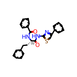 O=C(N[C@@H](CCc1ccccc1)C(=O)Nc1nc(-c2ccccc2)cs1)c1ccccc1